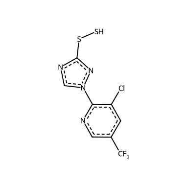 FC(F)(F)c1cnc(-n2cnc(SS)n2)c(Cl)c1